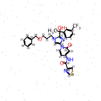 CC(O)(c1cccc(C(F)(F)F)c1)c1nc(-n2ccc(NC(=O)c3cscn3)cc2=O)cn1CCCOCc1ccccc1